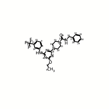 CCOc1nc(Nc2cccc(C(F)(F)F)c2)nc(N2CCN(C(=O)NCc3ccccc3)CC2)n1